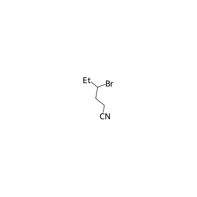 CCC(Br)CCC#N